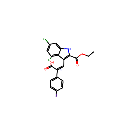 CCOC(=O)c1[nH]c2cc(Cl)cc(Cl)c2c1/C=C(\C(=O)O)c1ccc(I)cc1